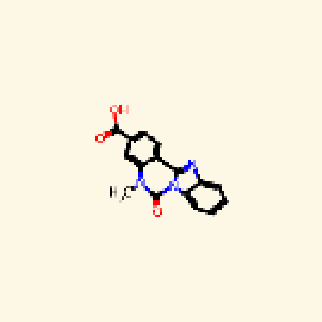 Cn1c(=O)n2c3ccccc3nc2c2ccc(C(=O)O)cc21